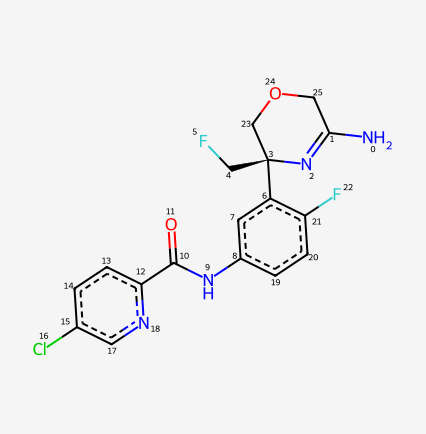 NC1=N[C@](CF)(c2cc(NC(=O)c3ccc(Cl)cn3)ccc2F)COC1